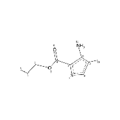 CCCOC(=O)c1scc(C)c1N